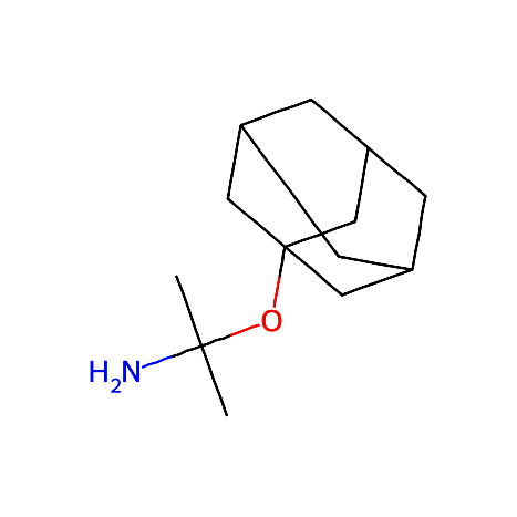 CC(C)(N)OC12CC3CC(CC(C3)C1)C2